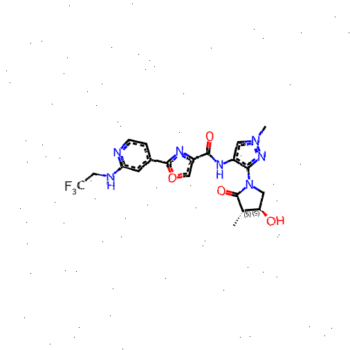 C[C@@H]1C(=O)N(c2nn(C)cc2NC(=O)c2coc(-c3ccnc(NCC(F)(F)F)c3)n2)C[C@H]1O